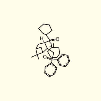 CC1(C)C2CC1[C@H](CP(=O)(c1ccccc1)c1ccccc1)[C@H](P(=O)(C1CCCCC1)C1CCCCC1)C2